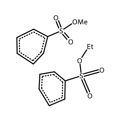 CCOS(=O)(=O)c1ccccc1.COS(=O)(=O)c1ccccc1